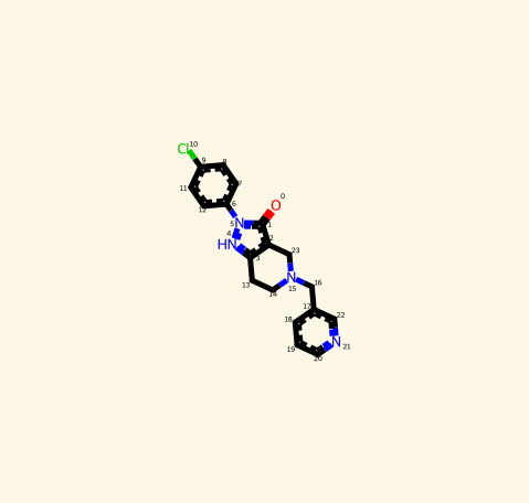 O=c1c2c([nH]n1-c1ccc(Cl)cc1)CCN(Cc1cccnc1)C2